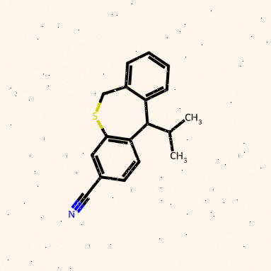 CC(C)C1c2ccccc2CSc2cc(C#N)ccc21